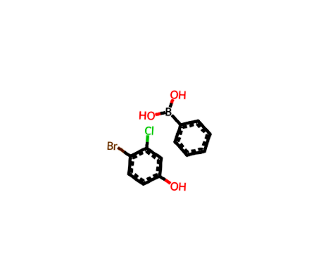 OB(O)c1ccccc1.Oc1ccc(Br)c(Cl)c1